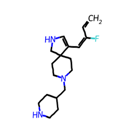 C=C/C(F)=C\C1=CNCC12CCN(CC1CCNCC1)CC2